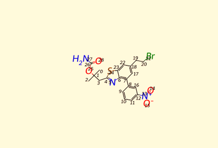 CC(C)(Cc1nc2c(-c3cccc([N+](=O)[O-])c3)cc(CCBr)cc2s1)OC(N)=O